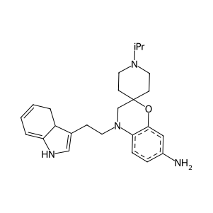 CC(C)N1CCC2(CC1)CN(CCC1=CNC3=CC=CCC13)c1ccc(N)cc1O2